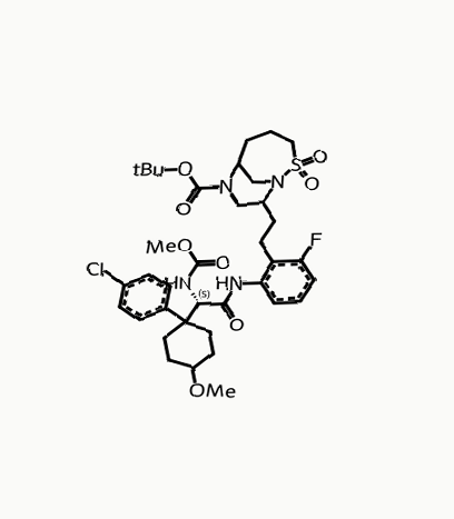 COC(=O)N[C@H](C(=O)Nc1cccc(F)c1CCC1CN(C(=O)OC(C)(C)C)C2CCCS(=O)(=O)N1C2)C1(c2ccc(Cl)cc2)CCC(OC)CC1